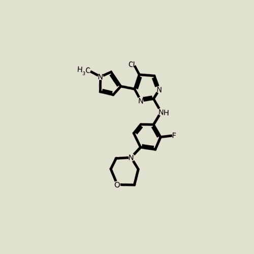 Cn1ccc(-c2nc(Nc3ccc(N4CCOCC4)cc3F)ncc2Cl)c1